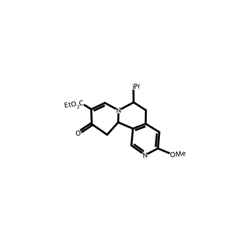 CCOC(=O)C1=CN2C(CC1=O)c1cnc(OC)cc1CC2C(C)C